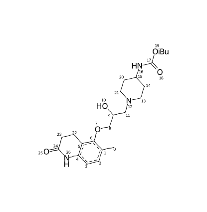 Cc1ccc2c(c1OCC(O)CN1CCC(NC(=O)OCC(C)C)CC1)CCC(=O)N2